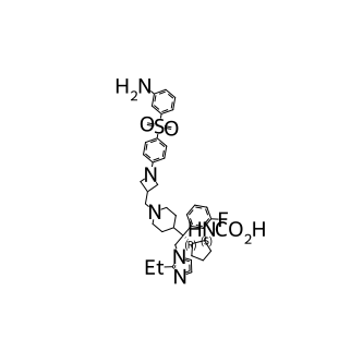 CCc1nccn1CC(c1cccc(F)c1)(C1CCN(CC2CN(c3ccc(S(=O)(=O)c4cccc(N)c4)cc3)C2)CC1)[C@H]1CCC[C@@H]1NC(=O)O